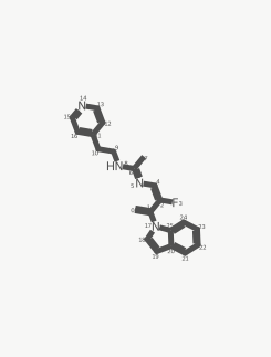 C=C(/C(F)=C\N=C(/C)NCCc1ccncc1)n1ccc2ccccc21